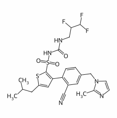 Cc1nccn1Cc1ccc(-c2cc(CC(C)C)sc2S(=O)(=O)NC(=O)NCC(F)C(F)F)c(C#N)c1